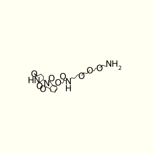 NCCOCCOCCOCCCNC(=O)COc1cccc2c1C(=O)N(C1CCC(=O)NC1=O)C2=O